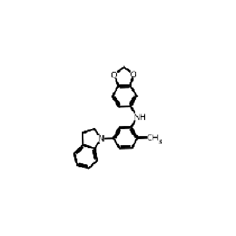 Cc1ccc(N2CCc3ccccc32)cc1Nc1ccc2c(c1)OCO2